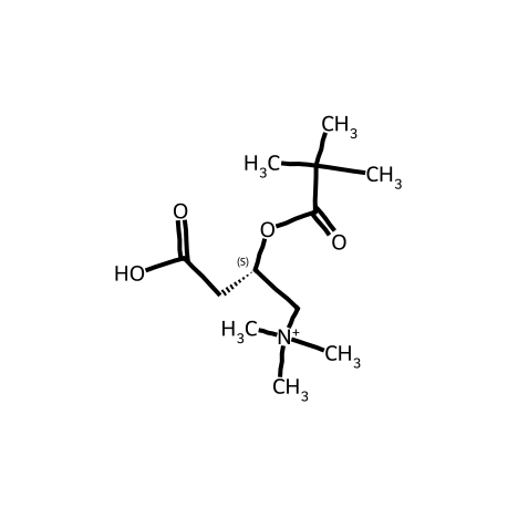 CC(C)(C)C(=O)O[C@@H](CC(=O)O)C[N+](C)(C)C